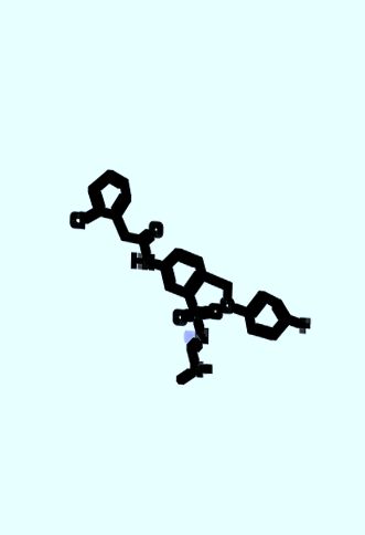 CN(C)/C=N/S(=O)(=O)c1cc(NC(=O)Cc2ccccc2Cl)ccc1COc1ccc(F)cc1